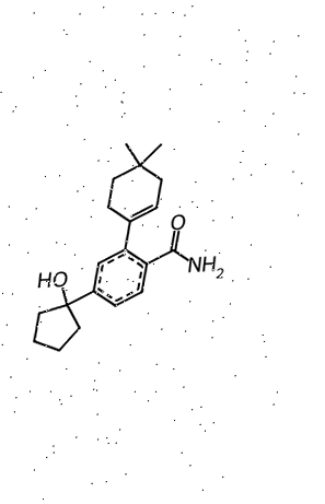 CC1(C)CC=C(c2cc(C3(O)CCCC3)ccc2C(N)=O)CC1